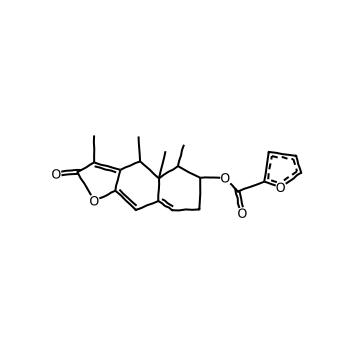 CC1=C2C(=CC3=CCC(OC(=O)c4ccco4)C(C)C3(C)C2C)OC1=O